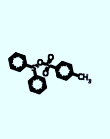 Cc1ccc(S(=O)(=O)O[S+](c2ccccc2)c2ccccc2)cc1